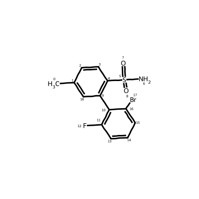 Cc1ccc(S(N)(=O)=O)c(-c2c(F)cccc2Br)c1